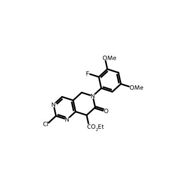 CCOC(=O)C1C(=O)N(c2cc(OC)cc(OC)c2F)Cc2cnc(Cl)nc21